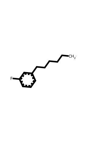 [CH2]CCCCCc1cccc(F)c1